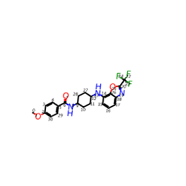 COc1ccc(C(=O)NC2CCC(Nc3cccc4nc(C(F)(F)F)oc34)CC2)cc1